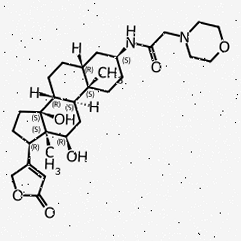 C[C@]12CC[C@H](NC(=O)CN3CCOCC3)C[C@H]1CC[C@@H]1[C@@H]2C[C@@H](O)[C@]2(C)[C@@H](C3=CC(=O)OC3)CC[C@]12O